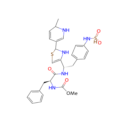 COC(=O)N[C@@H](Cc1ccccc1)C(=O)N[C@@H](Cc1ccc(N[SH](=O)=O)cc1)C1=CSC(C2=CNC(C)C=C2)N1